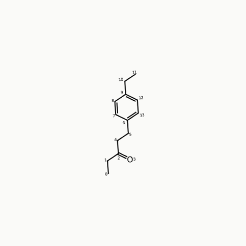 CCC(=O)CCc1ccc(CC)cc1